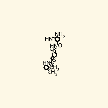 Cc1cccc(NC(=O)c2cc3c(s2)CCN(C(=O)CNC(=O)c2ccc(N)c(C=N)c2)C3)c1C